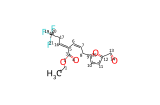 CCOC(=O)C(/C=C\Cc1ccc(C=O)o1)=C/CC(F)(F)F